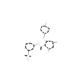 NS(=O)(=O)c1cccc(NC(=O)c2c(Cl)cc(Cl)cc2Oc2ccc(F)cc2)c1